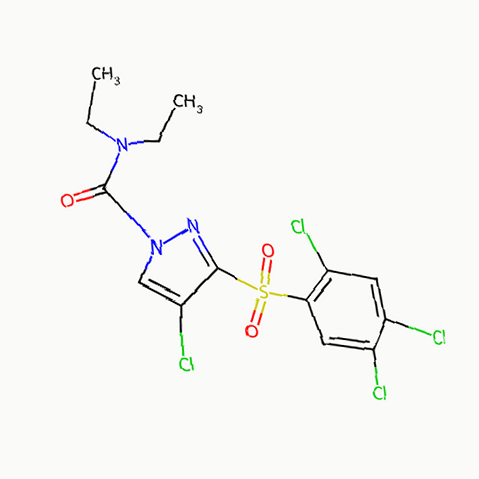 CCN(CC)C(=O)n1cc(Cl)c(S(=O)(=O)c2cc(Cl)c(Cl)cc2Cl)n1